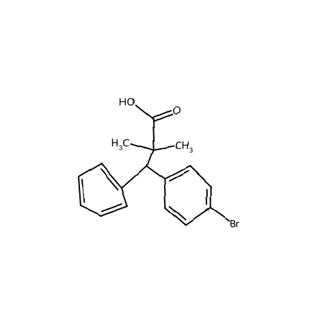 CC(C)(C(=O)O)C(c1ccccc1)c1ccc(Br)cc1